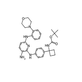 CC(C)(C)OC(=O)NC1(c2ccc(Nc3nc(Nc4ccccc4N4CCOCC4)ccc3N)cc2)CCC1